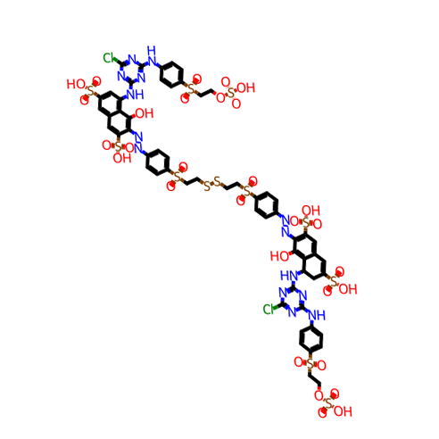 O=S(=O)(O)OCCS(=O)(=O)c1ccc(Nc2nc(Cl)nc(Nc3cc(S(=O)(=O)O)cc4cc(S(=O)(=O)O)c(N=Nc5ccc(S(=O)(=O)CCSSCCS(=O)(=O)c6ccc(/N=N/c7c(S(=O)(=O)O)cc8c(c7O)C(Nc7nc(Cl)nc(Nc9ccc(S(=O)(=O)CCOS(=O)(=O)O)cc9)n7)CC(S(=O)(=O)O)=C8)cc6)cc5)c(O)c34)n2)cc1